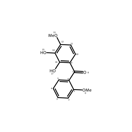 COc1ccccc1C(=O)c1ccc(OC)c(O)c1O